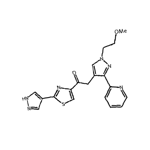 COCCn1cc(CC(=O)c2csc(-c3cn[nH]c3)n2)c(-c2ccccn2)n1